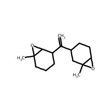 C=C(C1CCC2OC2(C)C1)C1CCCC2(C)OC12